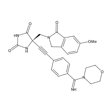 COc1ccc2c(c1)C(=O)N(C[C@@]1(C#Cc3ccc(C(=N)N4CCOCC4)cc3)NC(=O)NC1=O)C2